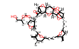 C=C1C[C@@H]2CC[C@@]34C[C@H]5OC6C(O3)[C@H]3O[C@H](CC[C@@H]3O[C@H]6C5O4)CC(=O)C[C@@H]3[C@@H](OC)[C@@H](C[C@H](O)CO)O[C@H]3C[C@H]3OC(CCC1O2)C[C@@H](C)C3=C